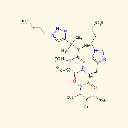 CCC(CSC)C(NC(=O)[C@H](Cc1cn(CCOS(=O)(=O)O)nn1)NC(=O)[C@H](/C=C\C(=O)O)NC(=O)C(NC)C(C)(C)c1cn(CCOS(=O)(=O)O)nn1)C(=O)O